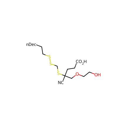 CCCCCCCCCCCCSSCSC(C#N)(CCC(=O)O)COCCO